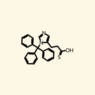 OC(=S)CCc1cncn1C(c1ccccc1)(c1ccccc1)c1ccccc1